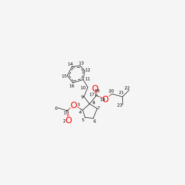 CC(=O)OC1CCCC1(CCc1ccccc1)C(=O)OCC(C)C